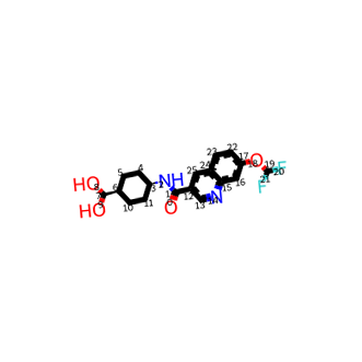 O=C(N[C@H]1CC[C@H](C(O)O)CC1)c1cnc2cc(OC(F)F)ccc2c1